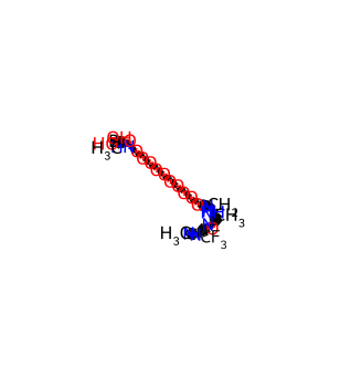 C=C(C#Cc1cc(C(=O)Nc2ccc(CN3CCN(C)CC3)c(C(F)(F)F)c2)ccc1C)n1ccc(OCCOCCOCCOCCOCCOCCOCCOCCOCCOCCNC(=O)c2ccc(B(O)O)c(C)c2)cc1=N